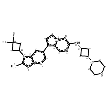 Cc1nc2ncc(-c3ccn4nc(N[C@H]5C[C@@H](N6CCOCC6)C5)ncc34)cc2n1C1CC(F)(F)C1